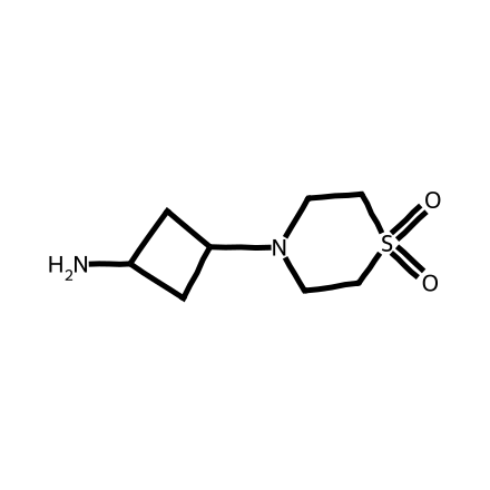 NC1CC(N2CCS(=O)(=O)CC2)C1